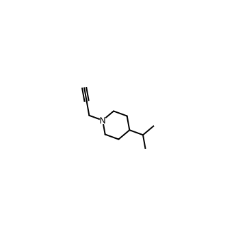 C#CCN1CCC(C(C)C)CC1